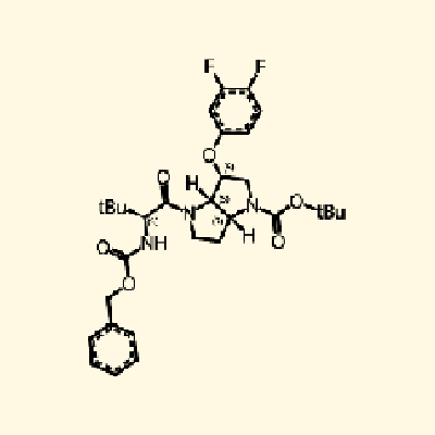 CC(C)(C)OC(=O)N1C[C@H](Oc2ccc(F)c(F)c2)[C@@H]2[C@H]1CCN2C(=O)[C@@H](NC(=O)OCc1ccccc1)C(C)(C)C